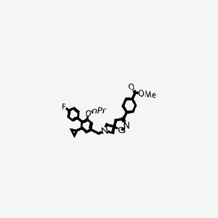 CCCOc1cc(CN2CC3(CC(C4CCC(C(=O)OC)CC4)=NO3)C2)cc(C2CC2)c1-c1ccc(F)cc1